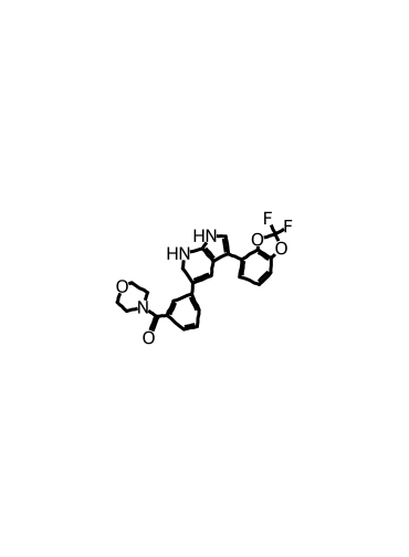 O=C(c1cccc(C2=Cc3c(-c4cccc5c4OC(F)(F)O5)c[nH]c3NC2)c1)N1CCOCC1